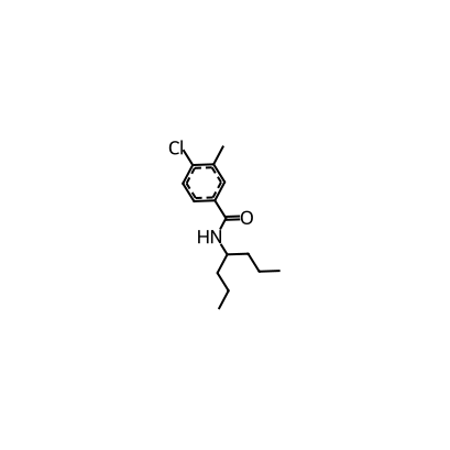 CCCC(CCC)NC(=O)c1ccc(Cl)c(C)c1